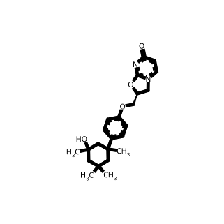 CC1(C)CC(C)(O)CC(C)(c2ccc(OC[C@@H]3Cn4ccc(=O)nc4O3)cc2)C1